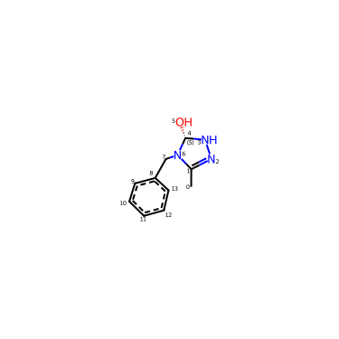 CC1=NN[C@@H](O)N1Cc1ccccc1